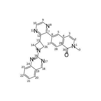 Cn1ccc2cc(-c3nccnc3C3CN(c4ncc5ccccc5n4)C3)ccc2c1=O